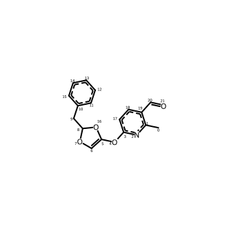 Cc1nc(OC2=COC(Cc3ccccc3)O2)ccc1C=O